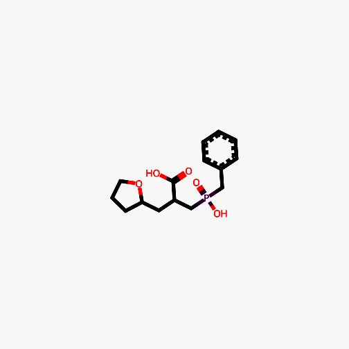 O=C(O)C(CC1CCCO1)CP(=O)(O)Cc1ccccc1